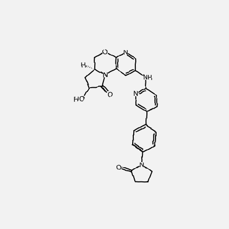 O=C1CCCN1c1ccc(-c2ccc(Nc3cnc4c(c3)N3C(=O)C(O)C[C@H]3CO4)nc2)cc1